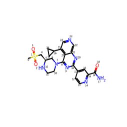 CS(=O)(=O)C[C@H]1CN(c2nc(-c3ccnc(C(N)=O)c3)nc3cncc(C4CC4)c23)CCN1